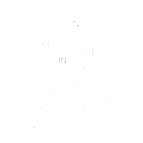 O=C(Nc1c(Cl)c[n+]([O-])cc1Cl)c1ccc(CC2CCCC2)c2oc3ccccc3c12